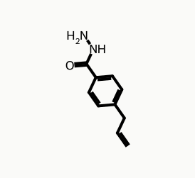 C=CCc1ccc(C(=O)NN)cc1